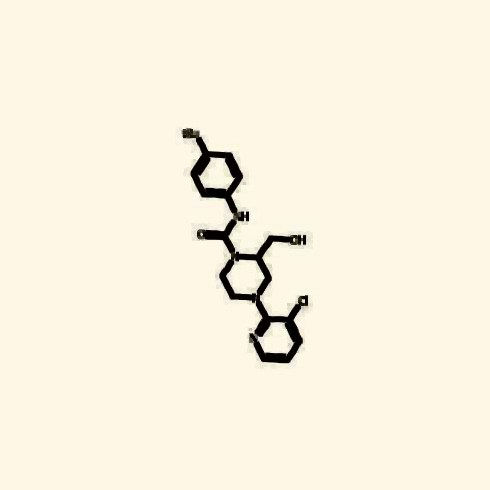 CC(C)(C)c1ccc(NC(=O)N2CCN(c3ncccc3Cl)CC2CO)cc1